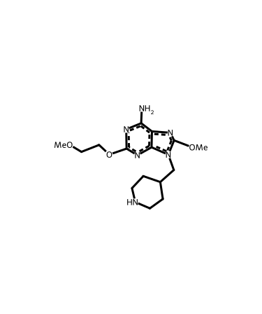 COCCOc1nc(N)c2nc(OC)n(CC3CCNCC3)c2n1